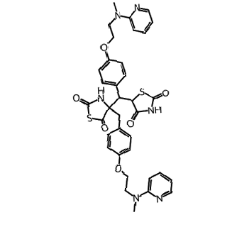 CN(CCOc1ccc(CC2(C(c3ccc(OCCN(C)c4ccccn4)cc3)C3SC(=O)NC3=O)NC(=O)SC2=O)cc1)c1ccccn1